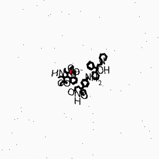 CCC1(c2ccc(N)cc2)CCC(=O)NC1=O.COC(=O)C1=C(C)NC(C)=C(C(=O)OC)C1c1ccccc1[N+](=O)[O-].OC(CCN1CCCCC1)(c1ccccc1)C1CCCCC1